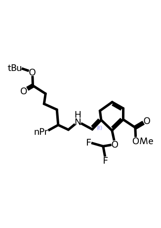 CCCC(CCCC(=O)OC(C)(C)C)CN/C=C1\CC=CC(C(=O)OC)=C1OC(F)F